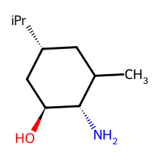 CC(C)[C@@H]1CC(C)[C@H](N)[C@@H](O)C1